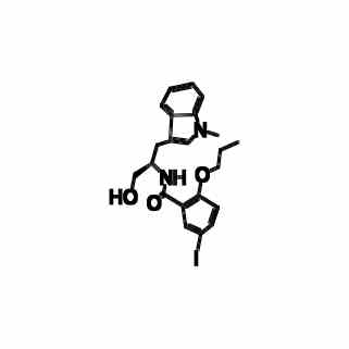 CCCOc1ccc(I)cc1C(=O)N[C@@H](CO)Cc1cn(C)c2ccccc12